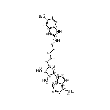 CC(C)(C)c1ccc2[nH]c(NCCCNC[C@H]3O[C@@H](n4cnc5c(N)ncnc54)[C@H](O)[C@@H]3O)nc2c1